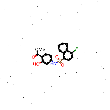 COC(=O)c1ccc(NS(=O)(=O)c2ccc(F)c3ccccc23)cc1O